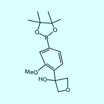 COc1cc(B2OC(C)(C)C(C)(C)O2)ccc1C1(O)COC1